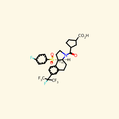 O=C(O)C1CCC(C(=O)N2CC[C@]3(S(=O)(=O)c4ccc(F)cc4)c4ccc(C(F)(C(F)(F)F)C(F)(F)F)cc4CC[C@H]23)C1